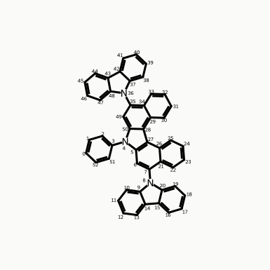 c1ccc(-n2c3cc(-n4c5ccccc5c5ccccc54)c4ccccc4c3c3c4ccccc4c(-n4c5ccccc5c5ccccc54)cc32)cc1